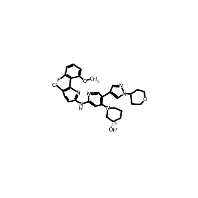 COc1cccc(F)c1-c1nc(Nc2cc(N3CCC[C@H](O)C3)c(-c3cnn(C4CCOCC4)c3)cn2)ccc1Cl